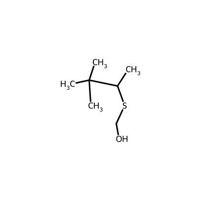 CC(SCO)C(C)(C)C